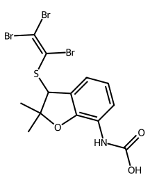 CC1(C)Oc2c(NC(=O)O)cccc2C1SC(Br)=C(Br)Br